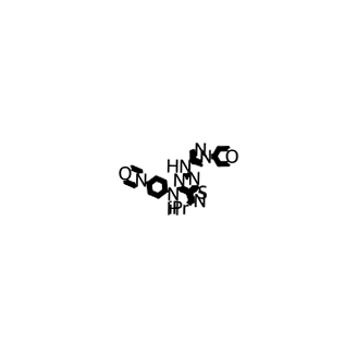 CC(C)c1nsc2nc(Nc3cnn(C4CCOCC4)c3)nc(N[C@H]3CC[C@H](N4CCOCC4)CC3)c12